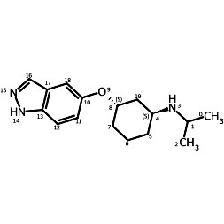 CC(C)N[C@H]1CCC[C@H](Oc2ccc3[nH]ncc3c2)C1